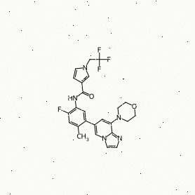 Cc1cc(F)c(NC(=O)c2ccn(CC(F)(F)F)c2)cc1-c1cc(N2CCOCC2)c2nccn2c1